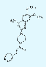 COc1cc2nc(N3CCN(C(=O)C=Cc4ccccc4)CC3)nc(N)c2cc1OC